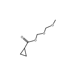 COCOCOC(=O)C1CC1